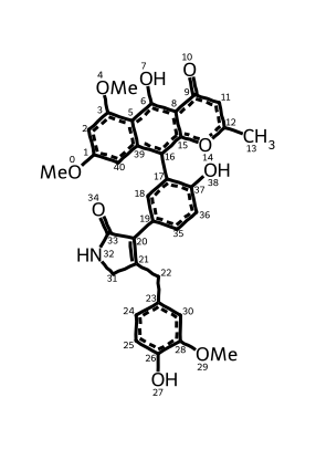 COc1cc(OC)c2c(O)c3c(=O)cc(C)oc3c(-c3cc(C4=C(Cc5ccc(O)c(OC)c5)CNC4=O)ccc3O)c2c1